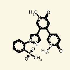 Cn1cc(-c2cc(=O)n(C)cc2-c2cnn(-c3ccccc3S(C)(=O)=O)c2)ccc1=O